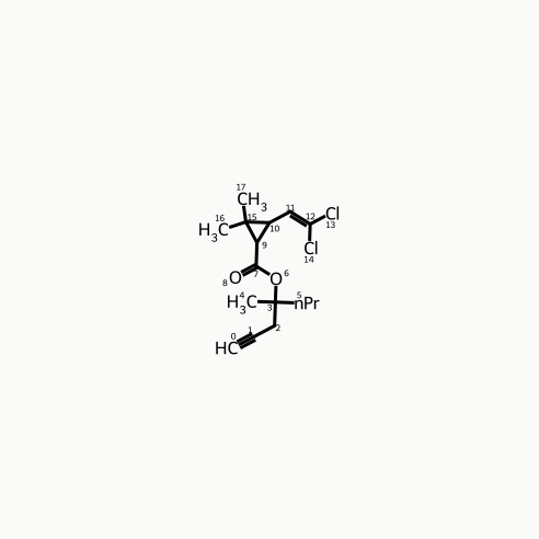 C#CCC(C)(CCC)OC(=O)C1C(C=C(Cl)Cl)C1(C)C